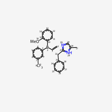 C=CB(c1cccc(C(F)(F)F)c1)c1ccccc1OC.Cc1cnc(Cc2ccccc2)[nH]1